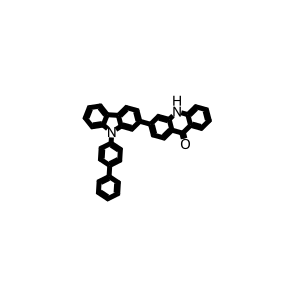 O=c1c2ccccc2[nH]c2cc(-c3ccc4c5ccccc5n(-c5ccc(-c6ccccc6)cc5)c4c3)ccc12